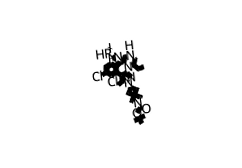 CCC1CNCCN1c1nn(C2CC3(C2)CN(C(=O)OC(C)(C)C)C3)c(C)c1-c1c(Cl)c(Cl)cc2c1cnn2PI